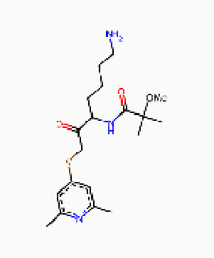 COC(C)(C)C(=O)NC(CCCCN)C(=O)CSc1cc(C)nc(C)c1